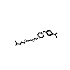 CC(C)CCCOCCOCCN1CCN(Cc2ccc(C(C)C)cc2)CC1